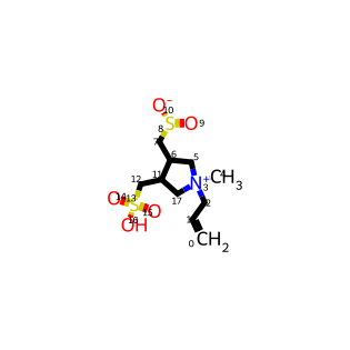 C=CC[N+]1(C)CC(CS(=O)[O-])C(CS(=O)(=O)O)C1